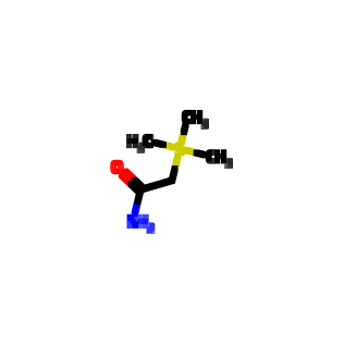 CS(C)(C)CC(N)=O